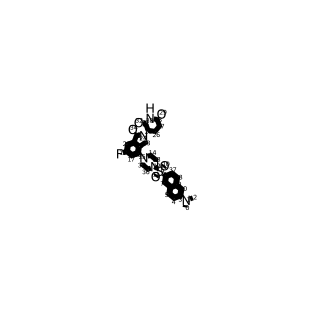 CN(C)c1ccc2cc(S(=O)(=O)N3CCN(c4cc(F)cc5c4CN(C4CCC(=O)NC4=O)C5=O)CC3)ccc2c1